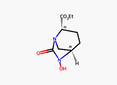 CCOC(=O)[C@@H]1CC[C@@H]2CN1C(=O)N2O